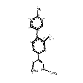 COC/C(=N\NC=O)c1ccc(-c2cnc(C)nc2)c(C)c1